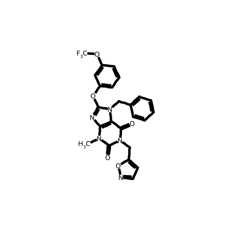 Cn1c(=O)n(Cc2ccno2)c(=O)c2c1nc(Oc1cccc(OC(F)(F)F)c1)n2Cc1ccccc1